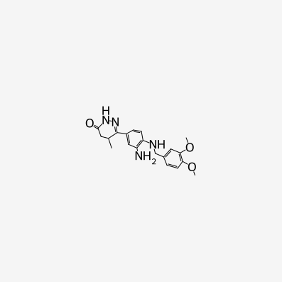 COc1ccc(CNc2ccc(C3=NNC(=O)CC3C)cc2N)cc1OC